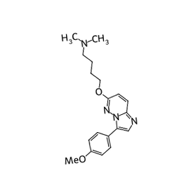 COc1ccc(-c2cnc3ccc(OCCCCN(C)C)nn23)cc1